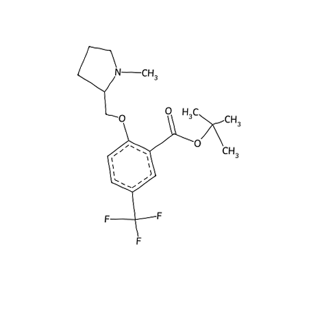 CN1CCCC1COc1ccc(C(F)(F)F)cc1C(=O)OC(C)(C)C